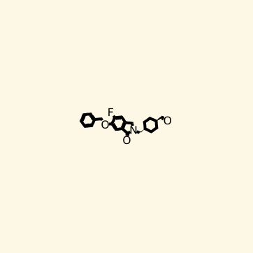 O=C[C@H]1CC[C@H](CN2Cc3cc(F)c(OCc4ccccc4)cc3C2=O)CC1